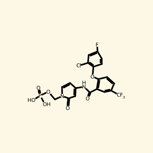 O=C(Nc1ccn(COP(=O)(O)O)c(=O)c1)c1cc(C(F)(F)F)ccc1Oc1ccc(F)cc1Cl